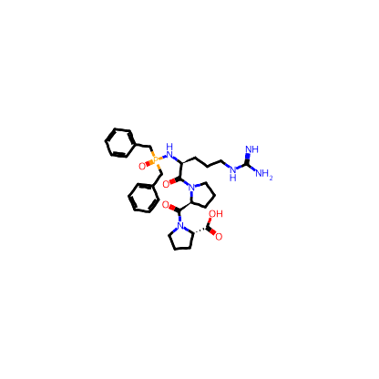 N=C(N)NCCC[C@H](NP(=O)(Cc1ccccc1)Cc1ccccc1)C(=O)N1CCC[C@H]1C(=O)N1CCC[C@H]1C(=O)O